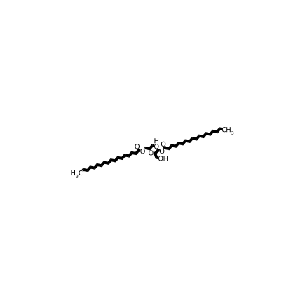 CCCCCCCCCCCCCCCCCC(=O)OCC(CO)OC(CO)COC(=O)CCCCCCCCCCCCCCCCC